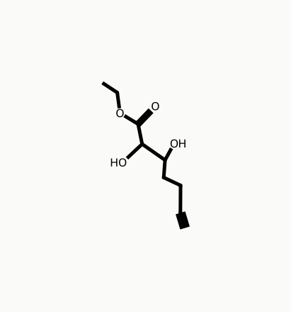 C#CCCC(O)C(O)C(=O)OCC